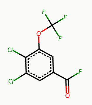 O=C(F)c1cc(Cl)c(Cl)c(OC(F)(F)F)c1